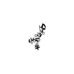 CC(C)(C)[Si](C)(C)OC[C@H]1O[C@@H](n2ccc(NC(=O)c3ccccc3)nc2=O)C[C@@H]1OP1(=S)SCCS1